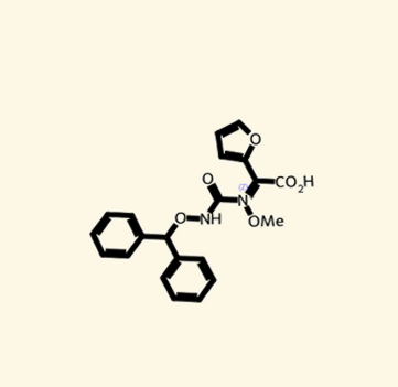 CO/[N+](C(=O)NOC(c1ccccc1)c1ccccc1)=C(\C(=O)O)c1ccco1